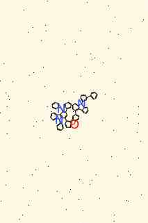 c1ccc(-c2cccc(-n3c4ccccc4c4c(-c5ccc6oc7cccc(-c8cc9c%10ccccc%10n(-c%10ccccc%10)c9c9c%10ccccc%10n(-c%10ccccc%10)c89)c7c6c5)cccc43)c2)cc1